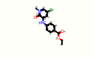 CCOC(=O)c1ccc(Nc2cc(Br)cn(C)c2=O)cc1